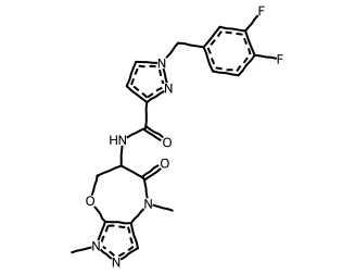 CN1C(=O)C(NC(=O)c2ccn(Cc3ccc(F)c(F)c3)n2)COc2c1cnn2C